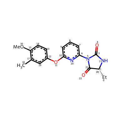 CC[C@H]1NC(=O)N(c2cccc(Oc3ccc(OC)c(C)c3)n2)C1=O